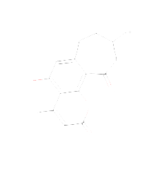 CCCc1cc(=O)oc2c3c(cc(O)c12)CCC(CCC)CC3=O